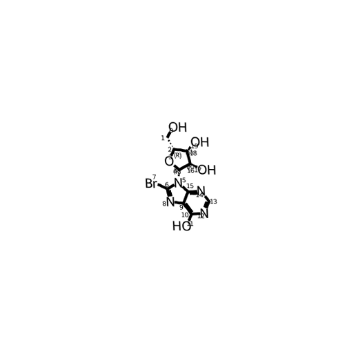 OC[C@H]1O[C@@H](n2c(Br)nc3c(O)ncnc32)[C@H](O)[C@@H]1O